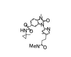 CNC(=O)CCc1cnc(-n2c(=O)n(C)c3ccc(S(=O)(=O)NC4(C)CC4)cc32)s1